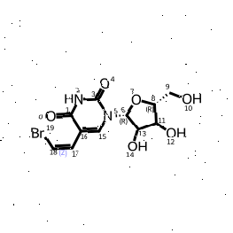 O=c1[nH]c(=O)n([C@@H]2O[C@H](CO)C(O)C2O)cc1/C=C\Br